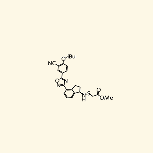 CCC(C)Oc1ccc(-c2nc(-c3cccc4c3CCC4NSCC(=O)OC)no2)cc1C#N